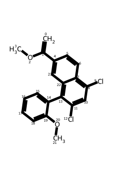 C=C(OC)c1ccc2c(Cl)cc(Cl)c(-c3ccccc3OC)c2c1